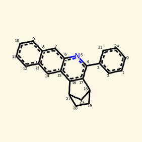 c1ccc(-c2nc3cc4ccccc4cc3c3c2C2CCC3C2)cc1